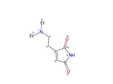 CCN(CC)CCC1=CC(=O)NC1=O